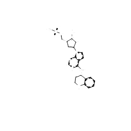 NS(=O)(=O)OC[C@@H]1CC(n2ccc3c(N[C@H]4CCOc5ccccc54)ncnc32)C[C@@H]1O